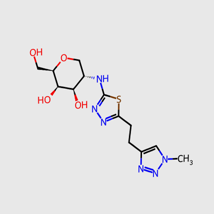 Cn1cc(CCc2nnc(N[C@H]3CO[C@H](CO)[C@H](O)[C@@H]3O)s2)nn1